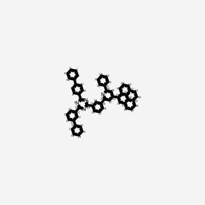 c1ccc(-c2ccc(-c3nc(-c4cccc(-c5ccccc5)c4)nc(-c4cccc(-c5cc(-c6cc7cccc8ccc9cccc6c9c87)cc(-c6ccccc6)n5)c4)n3)cc2)cc1